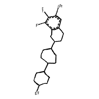 CCCc1cc2c(c(F)c1F)CC(C1CCC(C3CCC(CC)CC3)CC1)CC2